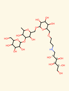 CC1OC(COC2OC(COCCCNC[C@@H](O)[C@@H](O)[C@H](O)[C@H](O)CO)C(O)C(O)C2O)C(O)C(OC2OC(CO)C(O)C(O)C2O)C1O